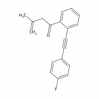 C=C(C)CC(=O)c1ccccc1C#Cc1ccc(F)cc1